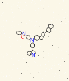 c1ccc2cc(-c3ccc4c(ccc5cc(N(c6ccc(-c7nc8ccccc8o7)cc6)c6ccc(-c7ccnc8ccccc78)cc6)ccc54)c3)ccc2c1